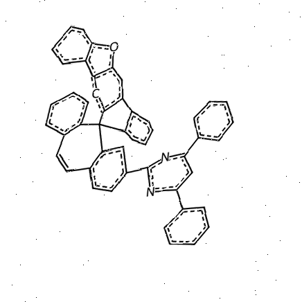 C1=Cc2ccc(-c3nc(-c4ccccc4)cc(-c4ccccc4)n3)cc2C2(c3ccccc31)c1ccccc1-c1cc3oc4ccccc4c3cc12